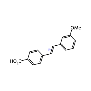 COc1cccc(/C=C/c2ccc(C(=O)O)cc2)c1